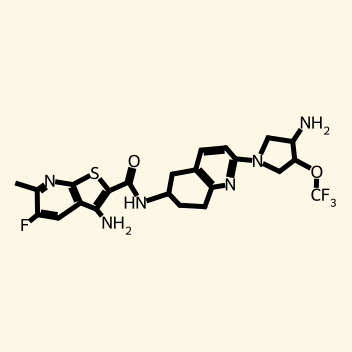 Cc1nc2sc(C(=O)NC3CCc4nc(N5CC(N)C(OC(F)(F)F)C5)ccc4C3)c(N)c2cc1F